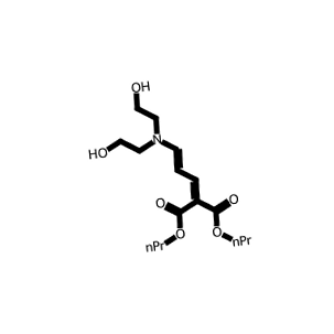 CCCOC(=O)C(=C/C=C/N(CCO)CCO)C(=O)OCCC